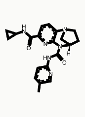 Cc1ccc(NC(=O)N2c3nc(C(=O)NC4CC4)ccc3N3CC[C@H]2C3)nc1